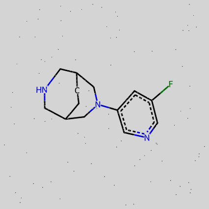 Fc1cncc(N2CC3CCC(CNC3)C2)c1